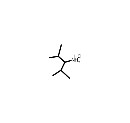 CC(C)C(N)C(C)C.Cl